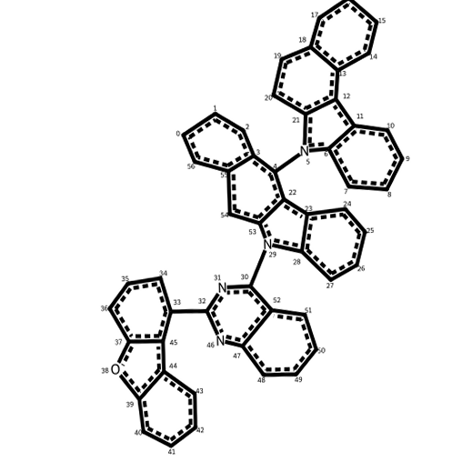 c1ccc2c(-n3c4ccccc4c4c5ccccc5ccc43)c3c4ccccc4n(-c4nc(-c5cccc6oc7ccccc7c56)nc5ccccc45)c3cc2c1